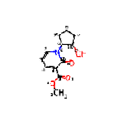 COC(=O)c1cccn(C2CCC[C@H]2O)c1=O